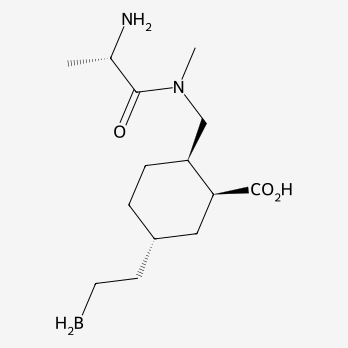 BCC[C@@H]1CC[C@@H](CN(C)C(=O)[C@H](C)N)[C@@H](C(=O)O)C1